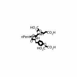 CCCCCNC(=O)[C@H](Cc1ccc(OC(C(=O)O)C(=O)O)cc1)NC(=O)[C@H](CCC(=O)O)NC(=O)CCC(=O)O